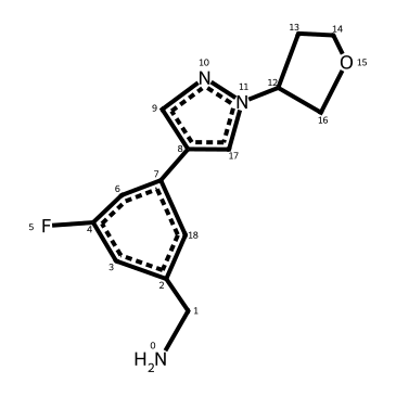 NCc1cc(F)cc(-c2cnn(C3CCOC3)c2)c1